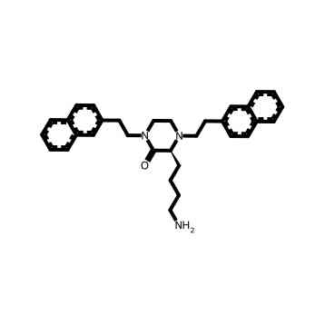 NCCCC[C@H]1C(=O)N(CCc2ccc3ccccc3c2)CCN1CCc1ccc2ccccc2c1